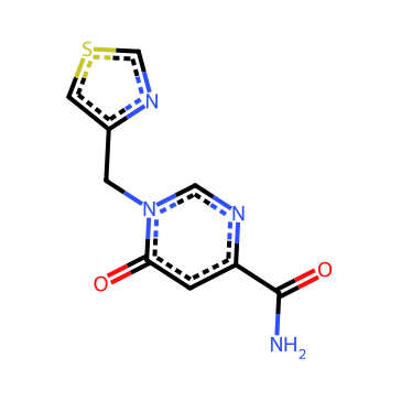 NC(=O)c1cc(=O)n(Cc2cscn2)cn1